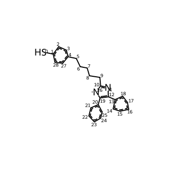 Sc1ccc(CCCCCC2=NC(c3ccccc3)=C(c3ccccc3)[N]2)cc1